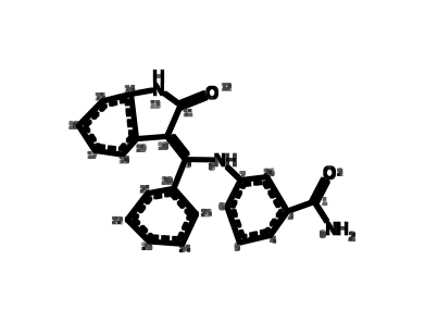 NC(=O)c1cccc(N/C(=C2\C(=O)Nc3ccccc32)c2ccccc2)c1